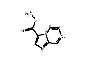 CSC(=O)c1cnc2cnccn12